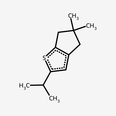 CC(C)c1cc2c(s1)CC(C)(C)C2